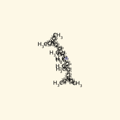 C=C(/C=C\C(=C)c1ccc2c(c1)C(C)(C)c1cc(-c3ccc(N(c4ccc(C)cc4)c4ccc(C)cc4)cc3)ccc1-2)c1ccc2c(c1)C(C)(C)c1cc(-c3ccc(N(c4ccc(C)cc4)c4ccc(C)cc4)cc3)ccc1-2